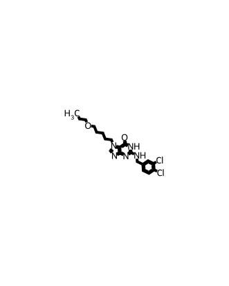 CCCOCCCCCn1cnc2nc(NCc3ccc(Cl)c(Cl)c3)[nH]c(=O)c21